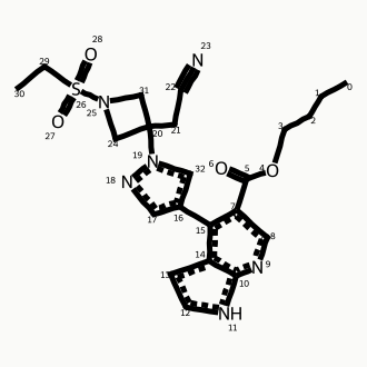 CCCCOC(=O)c1cnc2[nH]ccc2c1-c1cnn(C2(CC#N)CN(S(=O)(=O)CC)C2)c1